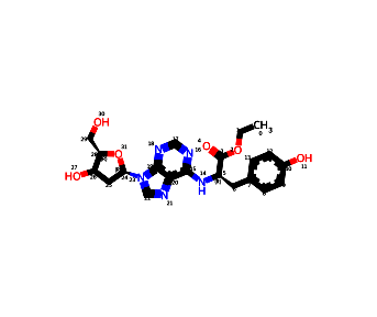 CCOC(=O)[C@@H](Cc1ccc(O)cc1)Nc1ncnc2c1ncn2[C@H]1CC(O)[C@@H](CO)O1